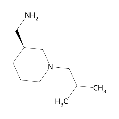 C[C](C)CN1CCC[C@@H](CN)C1